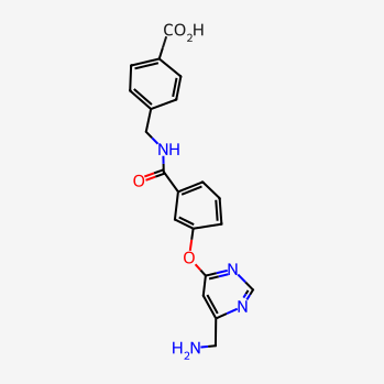 NCc1cc(Oc2cccc(C(=O)NCc3ccc(C(=O)O)cc3)c2)ncn1